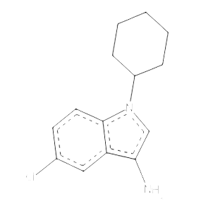 Nc1cn(C2CCCCC2)c2ccc(Cl)cc12